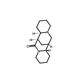 O=C1[C@@H]2C[C@@H](CN3CCCC[C@H]23)[C@@H]2CCCCN12